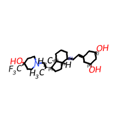 CC(CN1CCC(O)(C(F)(F)F)CC1)[C@H]1CC[C@H]2/C(=C/C=C3C[C@@H](O)C[C@H](O)C3)CCC[C@]12C